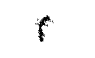 Cc1ncsc1-c1ccc([C@H](C)NC(=O)C2CC(O)CN2C(=O)C(NC(=O)COCCN2CCN(S(=O)(=O)c3ccc(NC(=O)NCc4cccnc4)cc3)CC2)C(C)(C)C)cc1